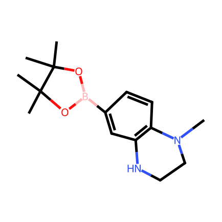 CN1CCNc2cc(B3OC(C)(C)C(C)(C)O3)ccc21